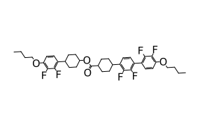 CCCCOc1ccc(-c2ccc(C3CCC(C(=O)OC4CCC(c5ccc(OCCCC)c(F)c5F)CC4)CC3)c(F)c2F)c(F)c1F